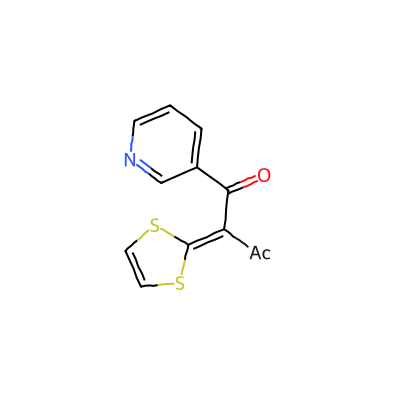 CC(=O)C(C(=O)c1cccnc1)=C1SC=CS1